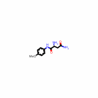 COc1ccc(NC(=O)[C@@H](N)CC(N)=O)cc1